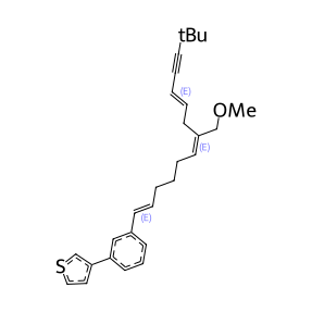 COC/C(=C/CCC/C=C/c1cccc(-c2ccsc2)c1)C/C=C/C#CC(C)(C)C